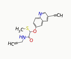 C#CCNC(=O)C(Oc1ccc2ncc(C#C)cc2c1)SC